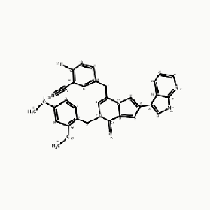 COc1ccc(Cn2cc(Cc3ccc(F)c(C#N)c3)n3cc(-c4c[nH]c5ncccc45)cc3c2=O)c(OC)c1